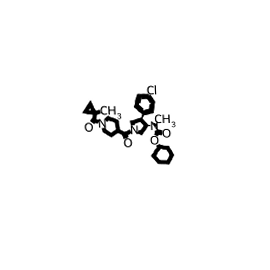 CN(C(=O)OC1CCCCC1)[C@@H]1CN(C(=O)C2CCN(C(=O)C3(C)CC3)CC2)C[C@H]1c1ccc(Cl)cc1